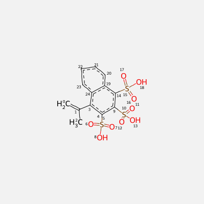 C=C(C)c1c(S(=O)(=O)O)c(S(=O)(=O)O)c(S(=O)(=O)O)c2ccccc12